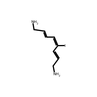 NC/C=C/C=C(I)\C=C\CN